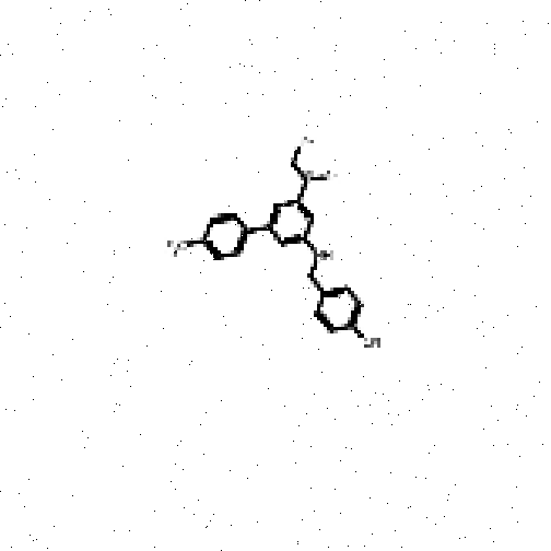 CC(=O)[C@H](CC(C)C)c1cc(NCc2ccc(C#N)cc2)cc(-c2ccc(C(F)(F)F)cc2)c1